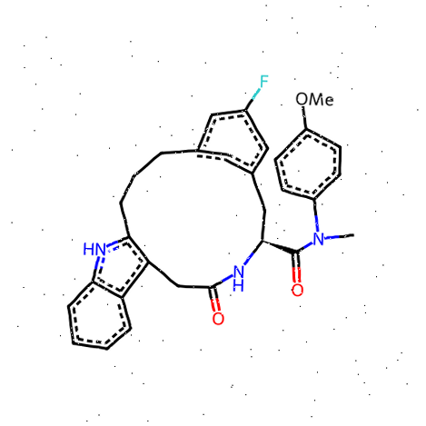 COc1ccc(N(C)C(=O)[C@@H]2Cc3cc(F)cc(c3)CCCc3[nH]c4ccccc4c3CC(=O)N2)cc1